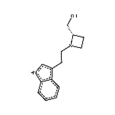 OC[C@@H]1CCN1CCc1c[nH]c2ccccc12